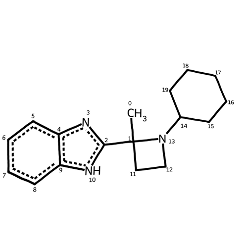 CC1(c2nc3ccccc3[nH]2)CCN1C1CCCCC1